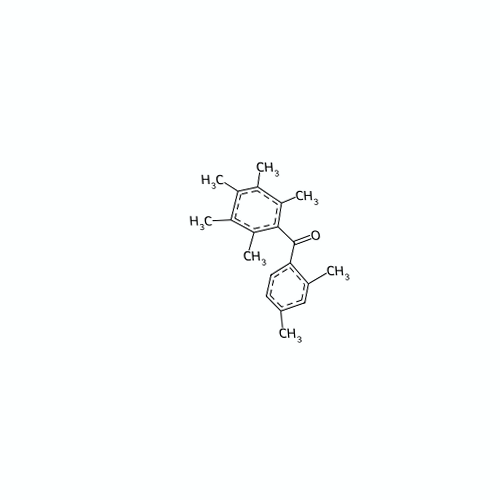 Cc1ccc(C(=O)c2c(C)c(C)c(C)c(C)c2C)c(C)c1